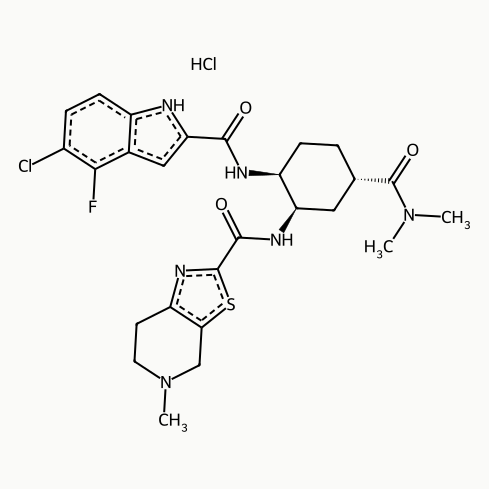 CN1CCc2nc(C(=O)N[C@@H]3C[C@@H](C(=O)N(C)C)CC[C@@H]3NC(=O)c3cc4c(F)c(Cl)ccc4[nH]3)sc2C1.Cl